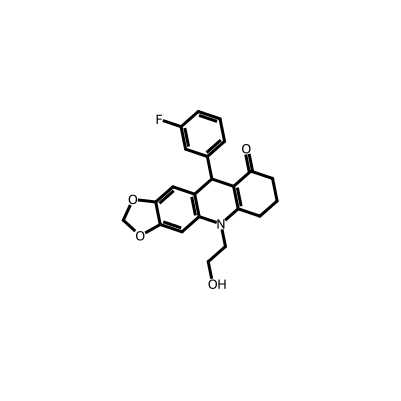 O=C1CCCC2=C1C(c1cccc(F)c1)c1cc3c(cc1N2CCO)OCO3